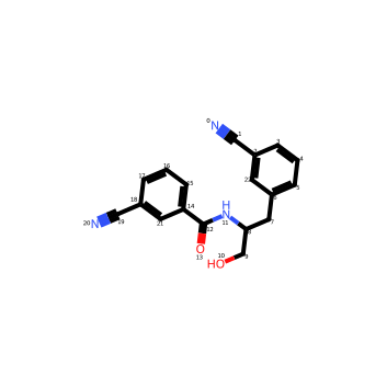 N#Cc1cccc(CC(CO)NC(=O)c2cccc(C#N)c2)c1